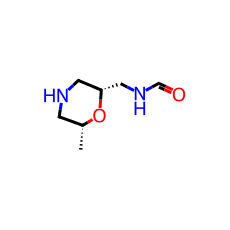 C[C@@H]1CNC[C@H](CNC=O)O1